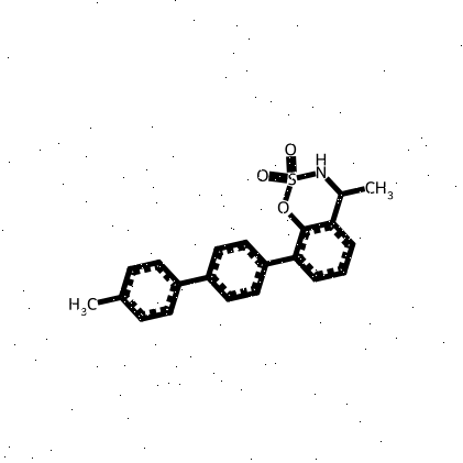 Cc1ccc(-c2ccc(-c3cccc4c3OS(=O)(=O)NC4C)cc2)cc1